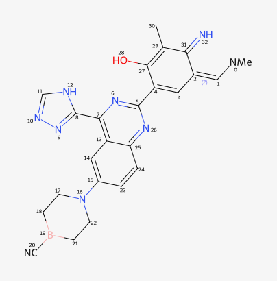 CN/C=C1/C=C(c2nc(-c3nnc[nH]3)c3cc(N4CCB(C#N)CC4)ccc3n2)C(O)=C(C)C1=N